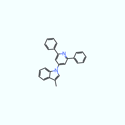 Cc1cn(-c2cc(-c3ccccc3)nc(-c3ccccc3)c2)c2ccccc12